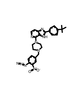 CC(C)(C)c1ccc(-c2nc3ccnc(N4CCN(Cc5ccc(N=[N+]=[N-])c([N+](=O)[O-])c5)CC4)c3[nH]2)cc1